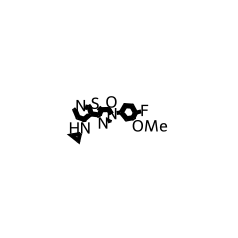 COc1cc(-n2cnc3c(sc4nccc(NC5CC5)c43)c2=O)ccc1F